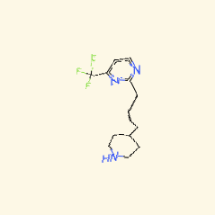 FC(F)(F)c1ccnc(CCCC2CCNCC2)n1